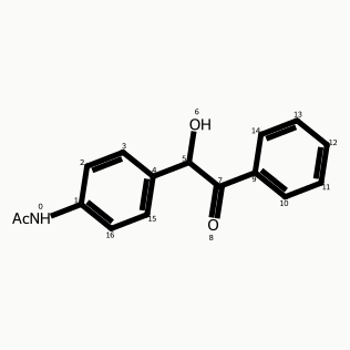 CC(=O)Nc1ccc(C(O)C(=O)c2ccccc2)cc1